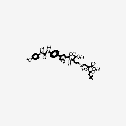 COc1ccc(NC(=O)Nc2ccc(C3CC(C(=O)NC(CCSCC(NC(=O)CC(C)(C)C)C(=O)O)C(=O)O)N(C)C3)cc2)cc1